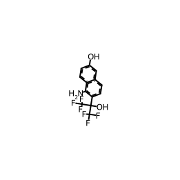 Nc1c(C(O)(C(F)(F)F)C(F)(F)F)ccc2cc(O)ccc12